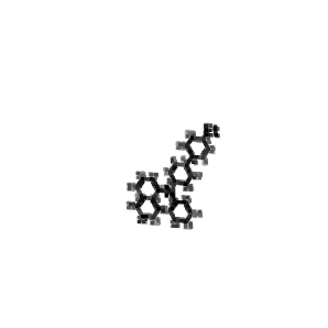 CCc1ccc(-c2ccc(N(c3ccccc3)c3cccc4ccccc34)cc2)cc1